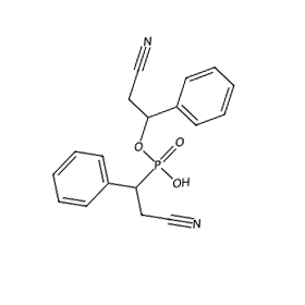 N#CCC(OP(=O)(O)C(CC#N)c1ccccc1)c1ccccc1